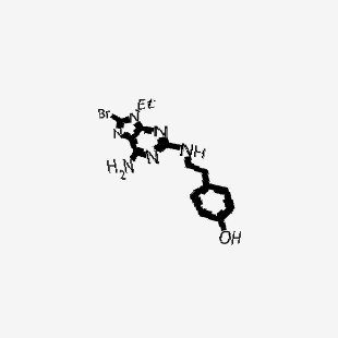 CCn1c(Br)nc2c(N)nc(NCCc3ccc(O)cc3)nc21